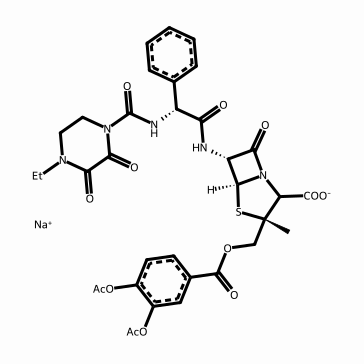 CCN1CCN(C(=O)N[C@@H](C(=O)N[C@@H]2C(=O)N3C(C(=O)[O-])[C@](C)(COC(=O)c4ccc(OC(C)=O)c(OC(C)=O)c4)S[C@@H]23)c2ccccc2)C(=O)C1=O.[Na+]